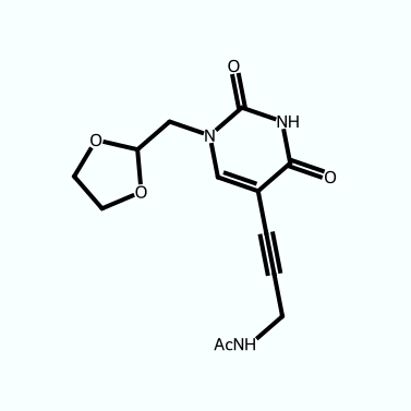 CC(=O)NCC#Cc1cn(CC2OCCO2)c(=O)[nH]c1=O